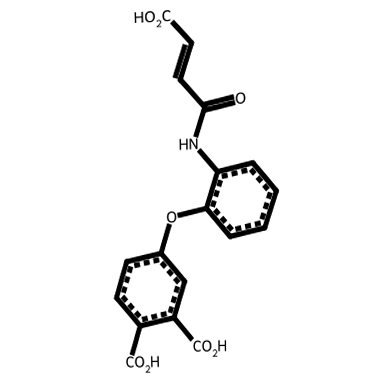 O=C(O)C=CC(=O)Nc1ccccc1Oc1ccc(C(=O)O)c(C(=O)O)c1